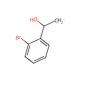 [CH2]C(O)c1ccccc1Br